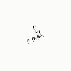 F.N.[Be+2].[F-].[F-]